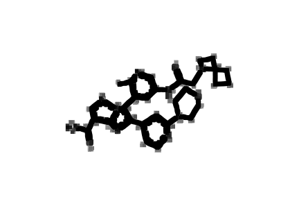 Cc1ncc(NC(=O)CN2CCC23CCC3)cc1-c1c(-c2ccnc(N3CCOCC3)c2)sc2c(C(N)=O)cnn12